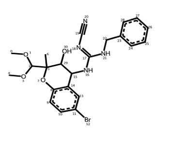 COC(OC)C1(C)Oc2ccc(Br)cc2C(NC(=NC#N)NCc2ccccc2)C1O